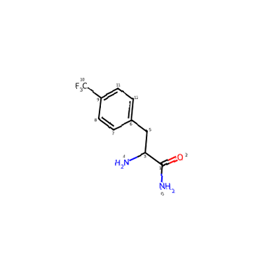 NC(=O)C(N)Cc1ccc(C(F)(F)F)cc1